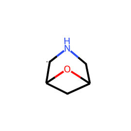 [CH]1NCC2CC1O2